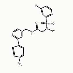 CC(C)N(CC(=O)NCc1ccnc(-c2ccc(C(F)(F)F)cc2)c1)S(=O)(=O)c1cccc(F)c1